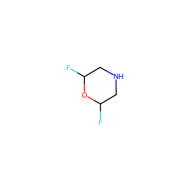 FC1CNCC(F)O1